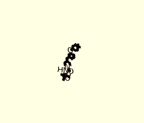 Cc1onc(NC(=O)N2CCC(=Cc3cccc(OC4CCC(C)(C)CC4)c3)CC2)c1C